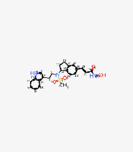 CS(=O)(=O)N(CCc1c[nH]c2ccccc12)C1CCc2cc(/C=C/C(=O)NO)ccc21